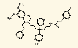 COc1cc2c(cc1OC)C(CCc1ccccc1)N(CCCC(CCCNC(=O)CCc1ccc(F)cc1)(c1ccccc1)c1ccccc1)CC2.Cl